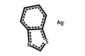 [Ag].c1ccc2scnc2c1